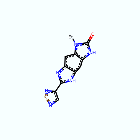 CCn1c(=O)[nH]c2cc3[nH]c(-c4cnsn4)nc3cc21